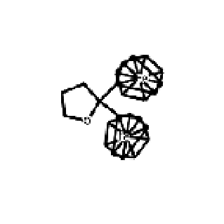 C1COC([C]23[CH]4[CH]5[CH]6[CH]2[Fe]56432789[CH]3[CH]2[CH]7[CH]8[CH]39)([C]23[CH]4[CH]5[CH]6[CH]2[Fe]56432789[CH]3[CH]2[CH]7[CH]8[CH]39)C1